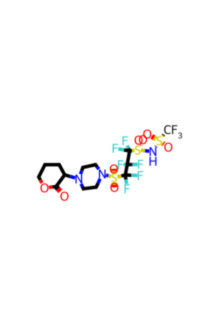 O=C1OCCCC1N1CCN(S(=O)(=O)C(F)(F)C(F)(F)C(F)(F)S(=O)(=O)NS(=O)(=O)C(F)(F)F)CC1